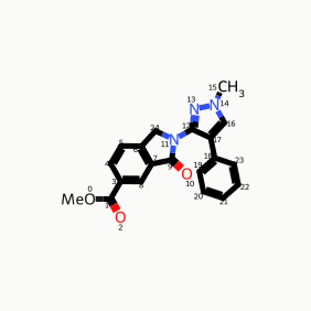 COC(=O)c1ccc2c(c1)C(=O)N(c1nn(C)cc1-c1ccccc1)C2